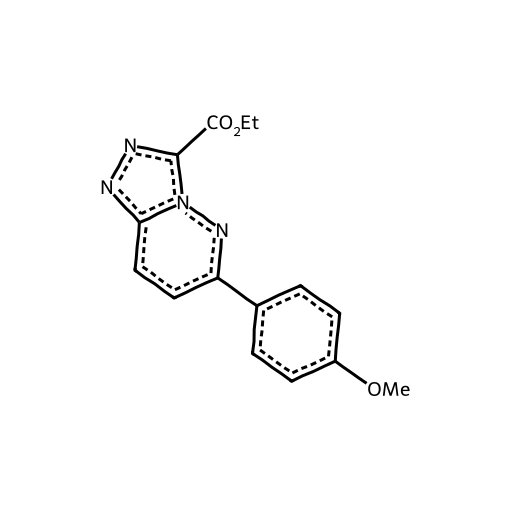 CCOC(=O)c1nnc2ccc(-c3ccc(OC)cc3)nn12